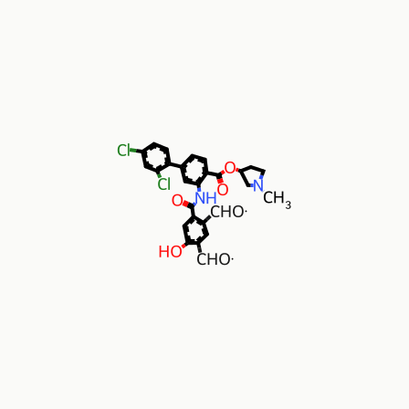 CN1CCC(OC(=O)c2ccc(-c3ccc(Cl)cc3Cl)cc2NC(=O)c2cc(O)c([C]=O)cc2[C]=O)C1